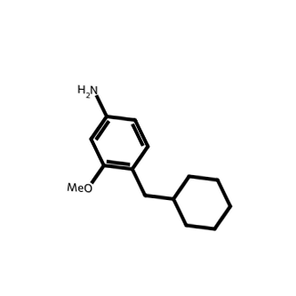 COc1cc(N)ccc1CC1CCCCC1